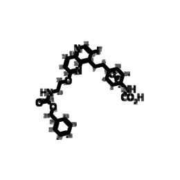 O=C(O)NC12CCC(CCc3c(F)cnc4ccc(OCCNC(=O)OCc5ccccc5)nc34)(CC1)OC2